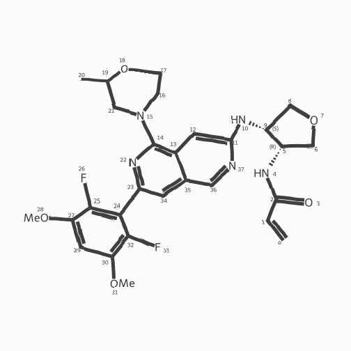 C=CC(=O)N[C@H]1COC[C@H]1Nc1cc2c(N3CCOC(C)C3)nc(-c3c(F)c(OC)cc(OC)c3F)cc2cn1